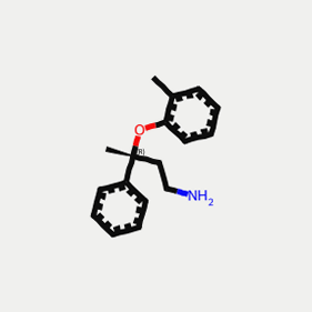 Cc1ccccc1O[C@](C)(CCN)c1ccccc1